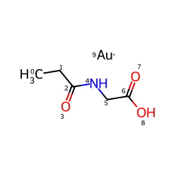 CCC(=O)NCC(=O)O.[Au]